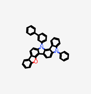 c1ccc(-c2cccc(-n3c4ccc5c6ccccc6oc5c4c4ccc5c(c6ccccc6n5-c5ccccc5)c43)c2)cc1